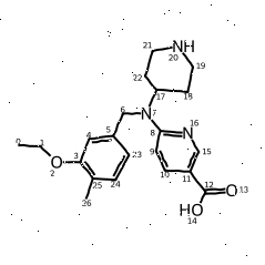 CCOc1cc(CN(c2ccc(C(=O)O)cn2)C2CCNCC2)ccc1C